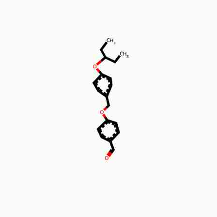 CCC(CC)Oc1ccc(COc2ccc(C=O)cc2)cc1